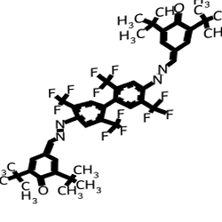 CC(C)(C)C1=CC(=C/N=N/c2cc(C(F)(F)F)c(-c3cc(C(F)(F)F)c(/N=N/C=C4C=C(C(C)(C)C)C(=O)C(C(C)(C)C)=C4)cc3C(F)(F)F)cc2C(F)(F)F)C=C(C(C)(C)C)C1=O